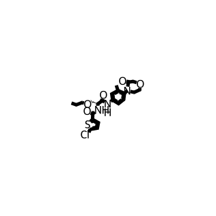 CCCOC[C@@H](NC(=O)c1ccc(Cl)s1)C(=O)Nc1ccc(N2CCOCC2=O)c(C)c1